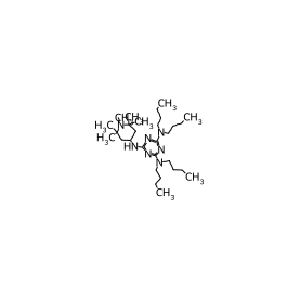 CCCCN(CCCC)c1nc(NC2CC(C)(C)N(C)C(C)(C)C2)nc(N(CCCC)CCCC)n1